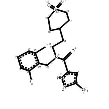 O=C(c1cc(C(F)(F)F)n[nH]1)N(CCC1CCS(=O)(=O)CC1)Cc1c(F)cccc1F